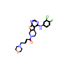 O=C(C=CCN1CCSCC1)N1CCc2c(sc3ncnc(Nc4ccc(F)c(Cl)c4)c23)C1